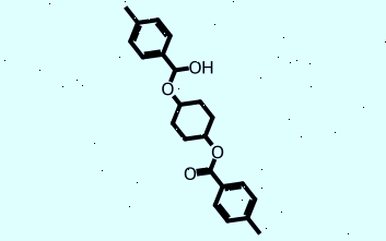 Cc1ccc(C(=O)OC2CCC(OC(O)c3ccc(C)cc3)CC2)cc1